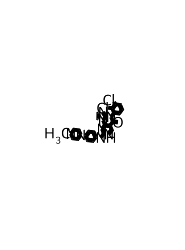 CN1CCN(c2ccc(Nc3ncc4c(n3)N3CCN=C3N(c3cccc(Cl)c3Cl)C4=O)cc2)CC1